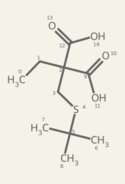 CCC(CSC(C)(C)C)(C(=O)O)C(=O)O